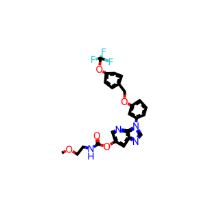 COCCNC(=O)Oc1cnc2c(c1)ncn2-c1cccc(OCc2ccc(OC(F)(F)F)cc2)c1